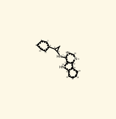 c1ccc(C2CC2Nc2ncnc3c2[nH]c2ccccc23)cc1